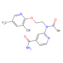 CC(C)C(=O)N(CCOc1ncc(C(F)(F)F)cc1C#N)c1cc(C(N)=O)ccn1